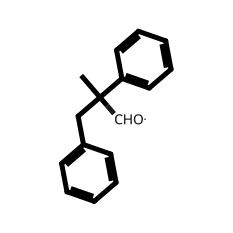 CC([C]=O)(Cc1ccccc1)c1ccccc1